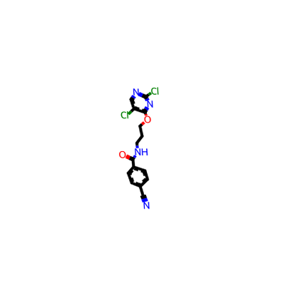 N#Cc1ccc(C(=O)NCCCOc2nc(Cl)ncc2Cl)cc1